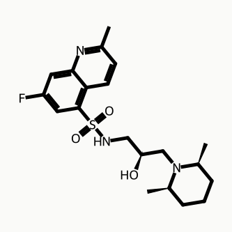 Cc1ccc2c(S(=O)(=O)NC[C@H](O)CN3[C@H](C)CCC[C@@H]3C)cc(F)cc2n1